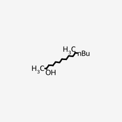 CCCCC(C)CCCCCCCCC(C)O